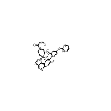 COc1cc(Oc2ncccn2)ccc1-c1cc2c(cc1F)ncc1ncn(C3(C)CCN(C(N)=O)CC3)c12